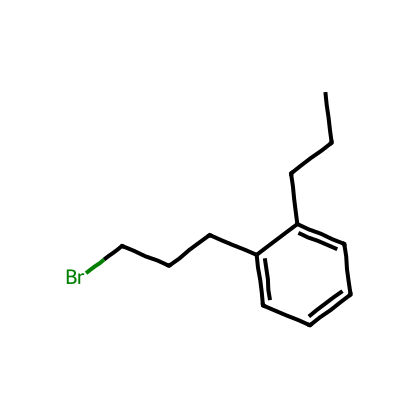 CCCc1ccccc1CCCBr